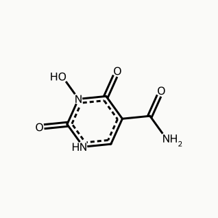 NC(=O)c1c[nH]c(=O)n(O)c1=O